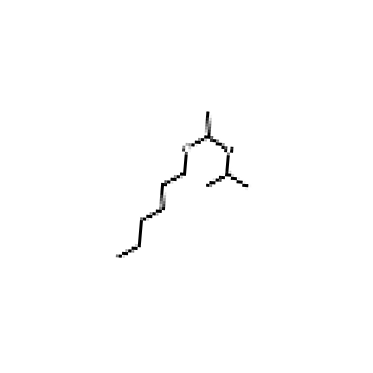 [CH2]C(OCCCCCC)OC(C)C